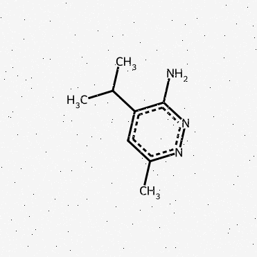 Cc1cc(C(C)C)c(N)nn1